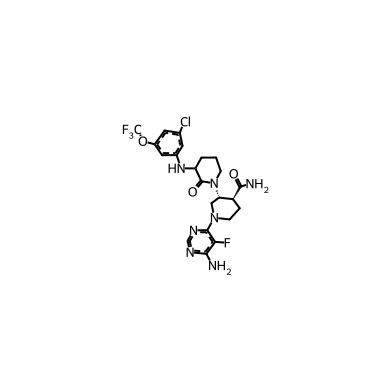 NC(=O)[C@H]1CCN(c2ncnc(N)c2F)C[C@@H]1N1CCCC(Nc2cc(Cl)cc(OC(F)(F)F)c2)C1=O